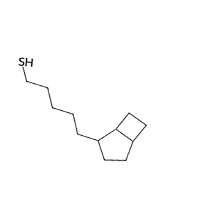 SCCCCCC1CCC2CCC12